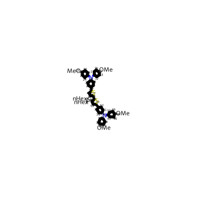 CCCCCC[Si]1(CCCCCC)c2cc(-c3ccc(N(c4ccc(OC)cc4)c4ccc(OC)cc4)cc3)sc2-c2sc(-c3ccc(N(c4ccc(OC)cc4)c4ccc(OC)cc4)cc3)cc21